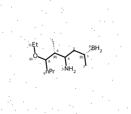 B[C@H](C)CC(N)[C@@H](C)C(CCC)OCC